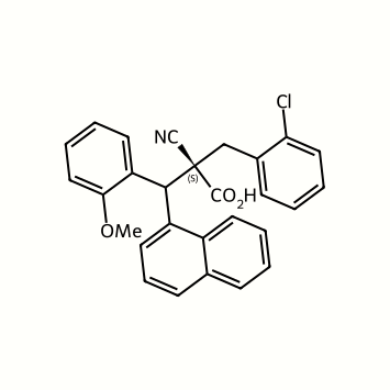 COc1ccccc1C(c1cccc2ccccc12)[C@](C#N)(Cc1ccccc1Cl)C(=O)O